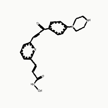 O=C(C=Cc1cccc(C=CC(=O)c2ccc(N3CCNCC3)cc2)n1)NO